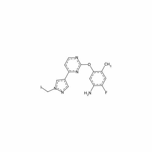 Cc1cc(F)c(N)cc1Oc1nccc(-c2cnn(CI)c2)n1